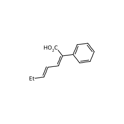 CCC=CC=C(C(=O)O)c1ccccc1